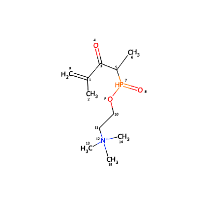 C=C(C)C(=O)C(C)[PH](=O)OCC[N+](C)(C)C